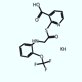 O=C(CNc1ccccc1OC(F)(F)F)Sc1ncccc1C(=O)O.[KH]